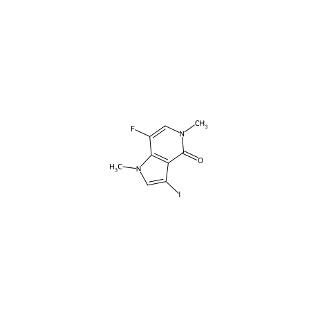 Cn1cc(F)c2c(c(I)cn2C)c1=O